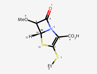 CCSC1=C(C(=O)O)N2C(=O)C(OC)[C@H]2S1